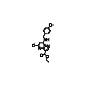 CCOC(=O)c1cnn2c(NCc3ccc(OC)cc3)cc(Cl)nc12